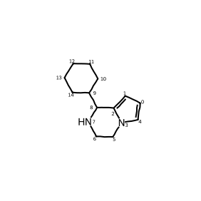 c1cc2n(c1)CCNC2C1CCCCC1